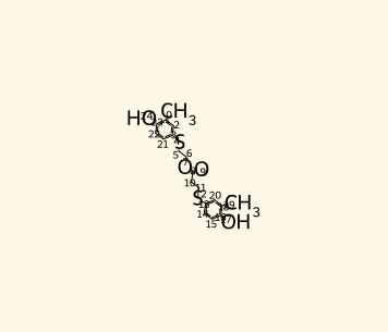 Cc1cc(SCCOC(=O)CCSc2ccc(O)c(C)c2)ccc1O